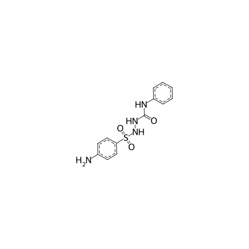 Nc1ccc(S(=O)(=O)NNC(=O)Nc2ccccc2)cc1